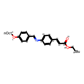 CCCCCCCCOc1ccc(/C=N/c2ccc(/C=C/C(=O)OCC(C)CC)cc2)cc1